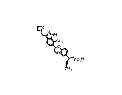 CC#CC(CC(=O)O)c1ccc(OC(CC(C)C)c2ccc3c(Cn4cccn4)n[nH]c3c2C)cc1